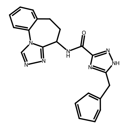 O=C(NC1CCc2ccccc2-n2cnnc21)c1n[nH]c(Cc2ccccc2)n1